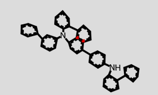 c1ccc(-c2cccc(N(c3ccc(-c4ccc(Nc5ccccc5-c5ccccc5)cc4)cc3)c3ccccc3-c3ccccc3)c2)cc1